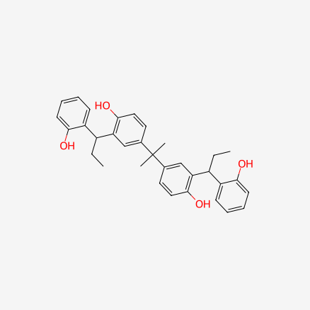 CCC(c1ccccc1O)c1cc(C(C)(C)c2ccc(O)c(C(CC)c3ccccc3O)c2)ccc1O